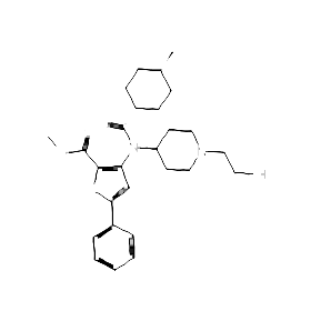 COC(=O)c1sc(-c2ccccc2)cc1N(C(=O)[C@H]1CC[C@H](C)CC1)C1CCN(CCO)CC1